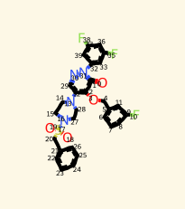 O=c1c(OCc2cccc(F)c2)c(N2CCN(S(=O)(=O)Cc3ccccc3)CC2)cnn1-c1cc(F)cc(F)c1